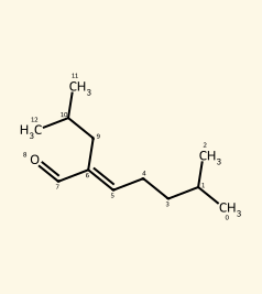 CC(C)CC/C=C(/C=O)CC(C)C